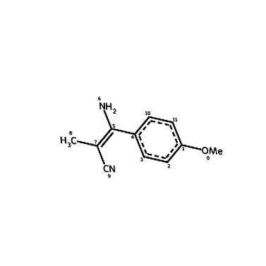 COc1ccc(/C(N)=C(/C)C#N)cc1